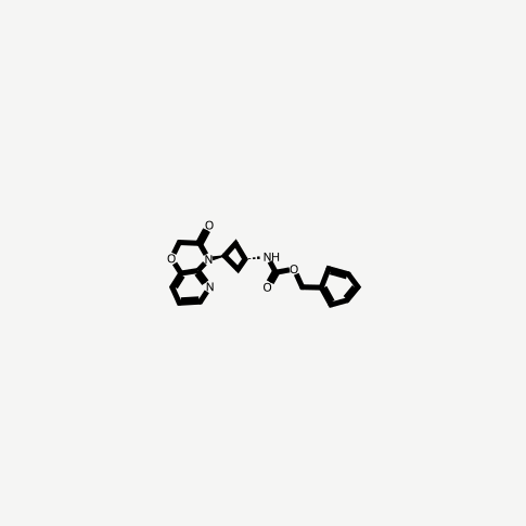 O=C(N[C@H]1C[C@H](N2C(=O)COc3cccnc32)C1)OCc1ccccc1